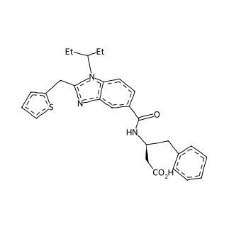 CCC(CC)n1c(Cc2cccs2)nc2cc(C(=O)N[C@H](CC(=O)O)Cc3ccccc3)ccc21